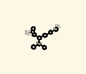 Cc1cccc(-c2ccc(-c3ccc(-c4cc(-c5ccc6c(c5)-c5ccccc5C6(C)C)cc(-c5nc(-c6ccccc6)cc(-c6ccccc6)n5)c4)cc3)cc2)n1